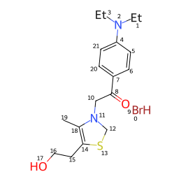 Br.CCN(CC)c1ccc(C(=O)CN2CSC(CCO)=C2C)cc1